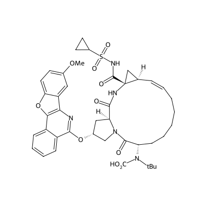 COc1ccc2oc3c4ccccc4c(O[C@@H]4C[C@H]5C(=O)N[C@]6(C(=O)NS(=O)(=O)C7CC7)C[C@H]6/C=C\CCCCC[C@H](N(C(=O)O)C(C)(C)C)C(=O)N5C4)nc3c2c1